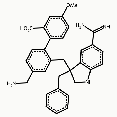 COc1ccc(-c2ccc(CN)cc2CC2(Cc3ccccc3)CNc3ccc(C(=N)N)cc32)c(C(=O)O)c1